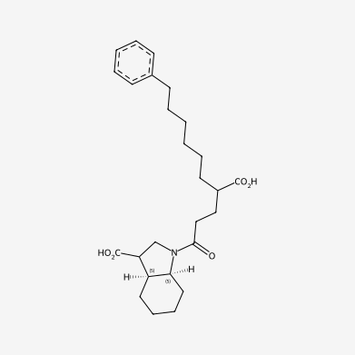 O=C(O)C(CCCCCCc1ccccc1)CCC(=O)N1CC(C(=O)O)[C@@H]2CCCC[C@@H]21